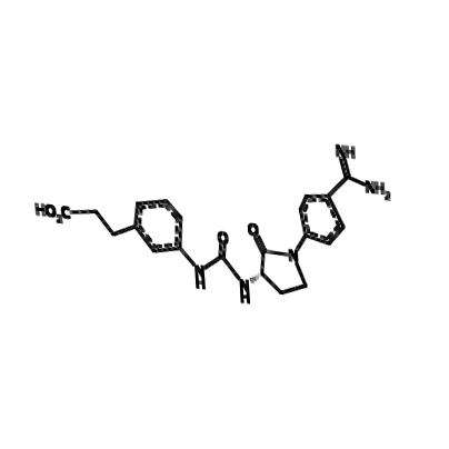 N=C(N)c1ccc(N2CC[C@H](NC(=O)Nc3cccc(CCC(=O)O)c3)C2=O)cc1